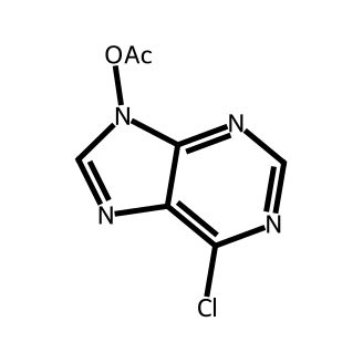 CC(=O)On1cnc2c(Cl)ncnc21